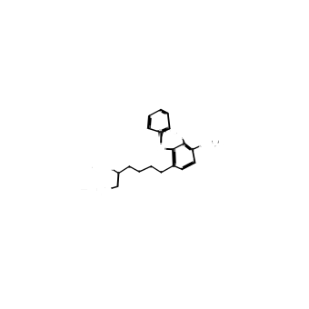 COc1ccc(CCCCC(CS(=O)(=O)O)S(=O)(=O)O)c(Oc2ccccc2)c1OC